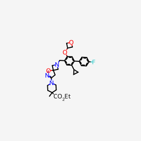 CCOC(=O)C1(C)CCN(C2=NOC3(C2)CN(Cc2cc(C4CC4)c(-c4ccc(F)cc4)cc2OC2COC2)C3)CC1